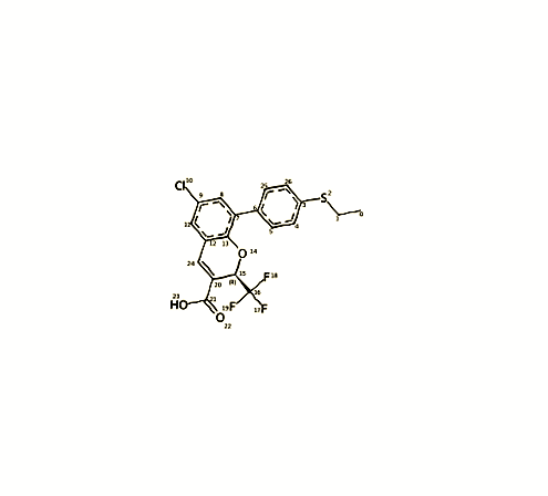 CCSc1ccc(-c2cc(Cl)cc3c2O[C@@H](C(F)(F)F)C(C(=O)O)=C3)cc1